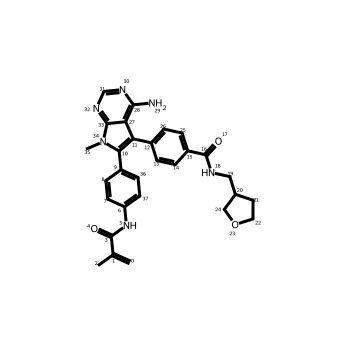 C=C(C)C(=O)Nc1ccc(-c2c(-c3ccc(C(=O)NCC4CCOC4)cc3)c3c(N)ncnc3n2C)cc1